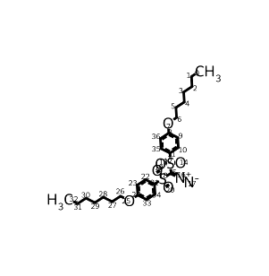 CCCCCCCOc1ccc(S(=O)(=O)C(=[N+]=[N-])S(=O)(=O)c2ccc(OCCCCCCC)cc2)cc1